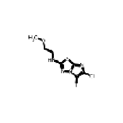 COCCNc1nn2c(I)c(Cl)nc2s1